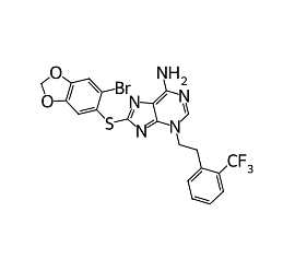 Nc1ncn(CCc2ccccc2C(F)(F)F)c2nc(Sc3cc4c(cc3Br)OCO4)nc1-2